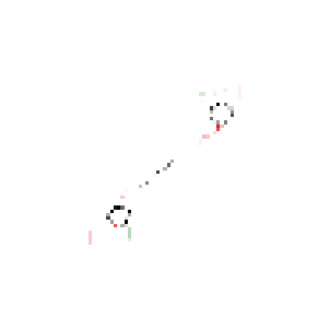 OC1=C(F)C=C(OCCCCCCCCCCOc2ccc(O)c(F)c2)CC=C1